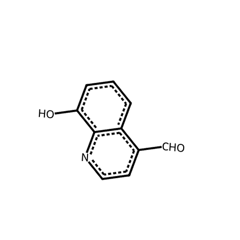 O=Cc1ccnc2c(O)cccc12